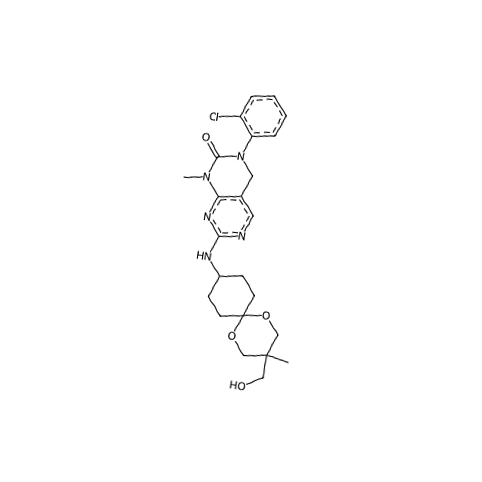 CN1C(=O)N(c2ccccc2Cl)Cc2cnc(NC3CCC4(CC3)OCC(C)(CO)CO4)nc21